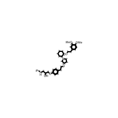 COc1ccc(CCO[C@H]2CCCC[C@H]2N2CC[C@H](OCCc3ccc(OCC(O)CNC(C)C)cc3)C2)cc1OC